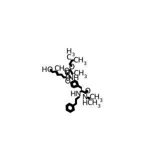 C/C(=C\CCP(=O)(N[C@@H](C)C(=O)OCC(C)C)Oc1ccc(C[C@H](NCCCc2ccccc2)C(=O)NC(C)C)cc1)CO